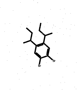 CCC(C)c1cc(Br)c(Br)cc1C(C)CC